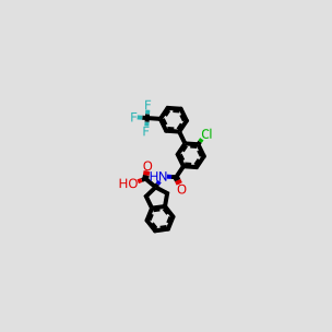 O=C(NC1(C(=O)O)Cc2ccccc2C1)c1ccc(Cl)c(-c2cccc(C(F)(F)F)c2)c1